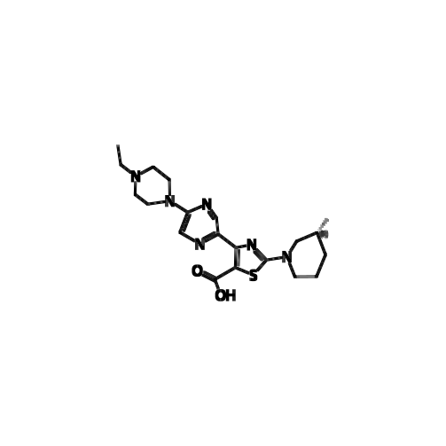 CCN1CCN(c2cnc(-c3nc(N4CCC[C@@H](C)C4)sc3C(=O)O)cn2)CC1